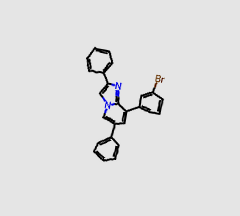 Brc1cccc(-c2cc(-c3ccccc3)cn3cc(-c4ccccc4)nc23)c1